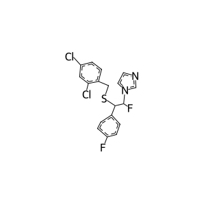 Fc1ccc(C(SCc2ccc(Cl)cc2Cl)C(F)n2ccnc2)cc1